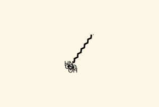 [CH2]CCCCCCCCCCCNS(=O)(=O)O